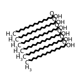 CCCCCCCCCCCCCCCCCC(=O)O.CCCCCCCCCCCCCCCCCC(=O)O.CCCCCCCCCCCCCCCCCC(=O)O.CCCCCCCCCCCCCCCCCC(=O)O.CCCCCCCCCCCCCCCCCC(=O)O.CCCCCCCCCCCCCCCCCC(=O)O